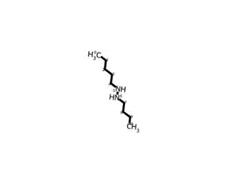 CCCCCNNCCCC